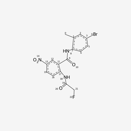 Cc1cc(Br)ccc1NC(=O)c1cc([N+](=O)[O-])ccc1NC(=O)CF